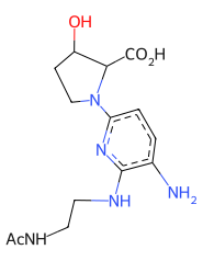 CC(=O)NCCNc1nc(N2CCC(O)C2C(=O)O)ccc1N